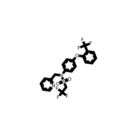 O=S(=O)(CC(F)(F)F)N(Cc1ccccn1)c1ccc(Oc2ccccc2C(F)(F)F)cc1